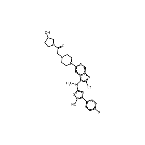 CCc1nc2cnc(N3CCN(CC(=O)N4CCC(O)C4)CC3)cn2c1N(C)c1nc(-c2ccc(F)cc2)c(C#N)s1